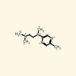 Cc1cnc(N(C)CCN(C)C)cn1